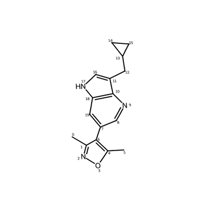 Cc1noc(C)c1-c1cnc2c(CC3CC3)c[nH]c2c1